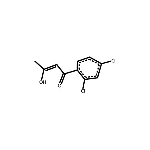 CC(O)=CC(=O)c1ccc(Cl)cc1Cl